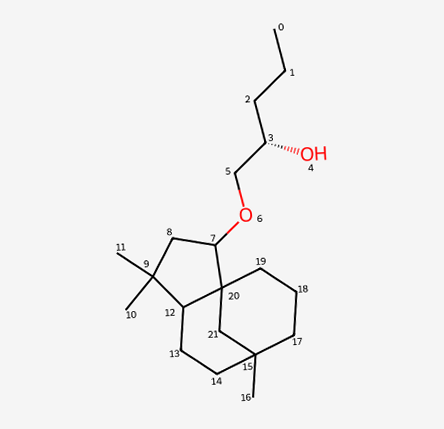 CCC[C@H](O)COC1CC(C)(C)C2CCC3(C)CCCC12C3